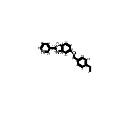 C[CH]c1ccc(COc2ccc3oc(-c4cccnc4)nc3c2)cc1